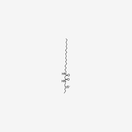 CCCCCCCCCCCCCCCCCCNC(=O)CC(=O)NCC[S+]([O-])CCC